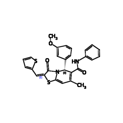 COc1cccc([C@@H]2C(C(=O)Nc3ccccc3)=C(C)C=c3s/c(=C/c4cccs4)c(=O)n32)c1